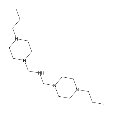 CCCN1CCN(CNCN2CCN(CCC)CC2)CC1